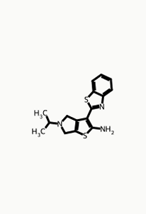 CC(C)N1Cc2sc(N)c(-c3nc4ccccc4s3)c2C1